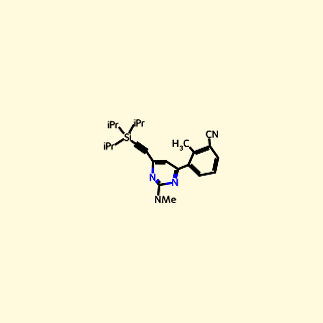 CNc1nc(C#C[Si](C(C)C)(C(C)C)C(C)C)cc(-c2cccc(C#N)c2C)n1